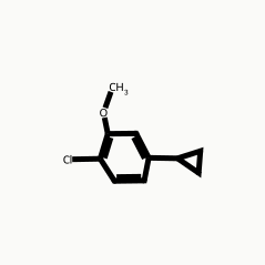 COc1cc(C2CC2)ccc1Cl